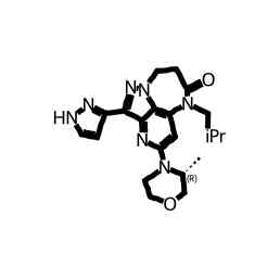 CC(C)CN1C(=O)CCn2nc(-c3cc[nH]n3)c3nc(N4CCOC[C@H]4C)cc1c32